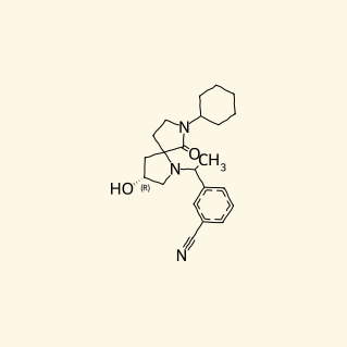 CC(c1cccc(C#N)c1)N1C[C@H](O)CC12CCN(C1CCCCC1)C2=O